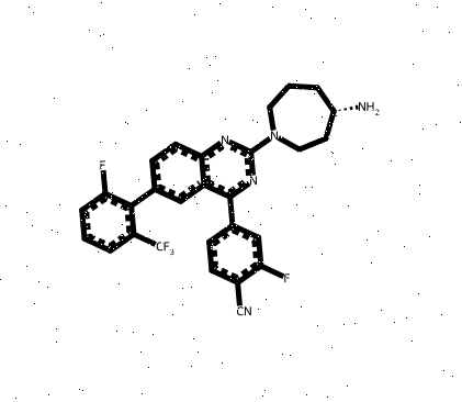 N#Cc1ccc(-c2nc(N3CCC[C@H](N)CC3)nc3ccc(-c4c(F)cccc4C(F)(F)F)cc23)cc1F